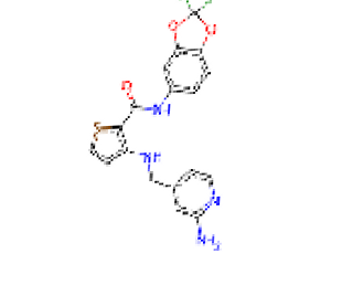 Nc1cc(CNc2ccsc2C(=O)Nc2ccc3c(c2)OC(F)(F)O3)ccn1